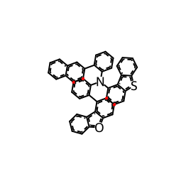 c1ccc(N(c2ccccc2-c2cccc3oc4ccccc4c23)c2cccc3sc4ccccc4c23)c(-c2ccc3ccccc3c2)c1